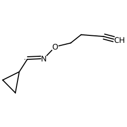 C#CCCO/N=[C]/C1CC1